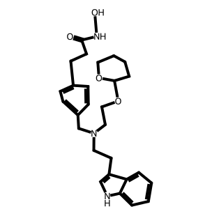 O=C(CCc1ccc(CN(CCOC2CCCCO2)CCc2c[nH]c3ccccc23)cc1)NO